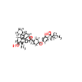 CCC(C)(CC)C(O)c1ccc(Oc2ccc(COc3ccc(C4(c5ccc(O)c(C)c5)CCCCC4)cc3C)cc2)cc1